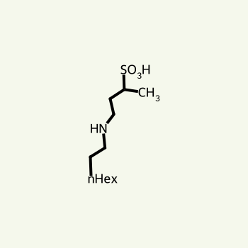 CCCCCCCCNCCC(C)S(=O)(=O)O